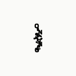 CC([Si](C)(C)N=C=O)[Si](C)(C)N=C=O